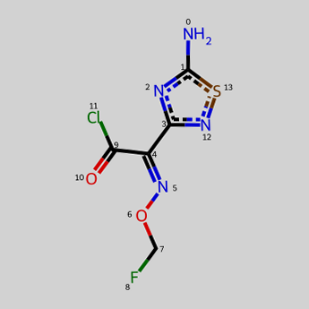 Nc1nc(C(=NOCF)C(=O)Cl)ns1